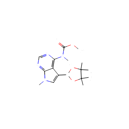 CC(C)n1cc(B2OC(C)(C)C(C)(C)O2)c2c(N(C(=O)O)C(=O)OC(C)(C)C)ncnc21